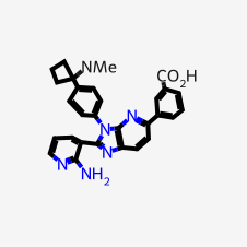 CNC1(c2ccc(-n3c(-c4cccnc4N)nc4ccc(-c5cccc(C(=O)O)c5)nc43)cc2)CCC1